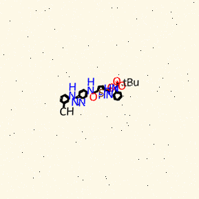 C#Cc1cccc(Nc2ncnc3cc(NC(=O)c4ccc(C(=O)Nc5ccccc5NC(=O)OC(C)(C)C)s4)ccc23)c1